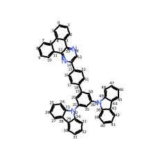 c1ccc2c(c1)c1ccccc1c1nc(-c3ccc(-c4cc(-n5c6ccccc6c6ccccc65)cc(-n5c6ccccc6c6ccccc65)c4)cc3)cnc21